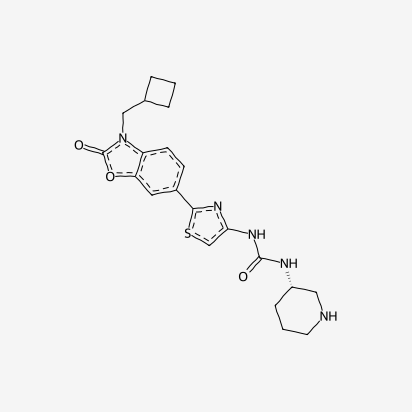 O=C(Nc1csc(-c2ccc3c(c2)oc(=O)n3CC2CCC2)n1)N[C@H]1CCCNC1